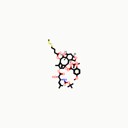 C=C1C2=C(C)[C@@H](OC(=O)[C@H](O)[C@H](C=C(C)C)NC(=O)OC(C)(C)C)C[C@@]1(O)[C@@H](OC(=O)c1cc(OC)ccc1OC)[C@@H]1[C@]3(OC(C)=O)CO[C@@H]3C[C@H]3O[C@@H]([C@@H]2OC(=O)CCCSSC)[C@@]13C